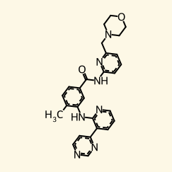 Cc1ccc(C(=O)Nc2cccc(CN3CCOCC3)n2)cc1Nc1ncccc1-c1ccncn1